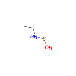 CCNSO